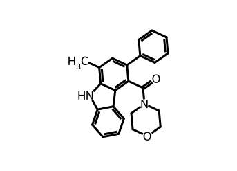 Cc1cc(-c2ccccc2)c(C(=O)N2CCOCC2)c2c1[nH]c1ccccc12